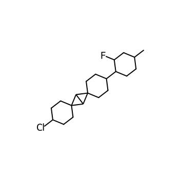 CC1CCC(C2CCC3(CC2)C2C3C23CCC(Cl)CC3)C(F)C1